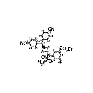 CCOC(=O)c1cc(F)cc(N(C2CN(C(c3ccc(C#N)cc3)c3ccc(C#N)cc3)C2)S(C)(=O)=O)c1